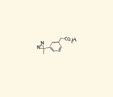 CC1(c2cccc(CC(=O)O)c2)N=N1